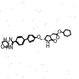 C1CCOC1.N=C(N)c1ccc(-c2ccc(OC[C@@H]3C[C@@H](CC(=O)OC4CCCCC4)C(=O)N3)cc2)cc1